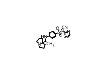 CC(Nc1ccc(S(=O)(=O)N(C#N)c2nccs2)cc1)C12CCCN1CCC2